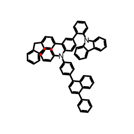 c1ccc(-c2ccc(-c3ccc(N(c4ccccc4)c4ccc(-c5ccccc5-n5c6ccccc6c6ccccc65)cc4-c4ccc5c(c4)-c4ccccc4C5)cc3)c3ccccc23)cc1